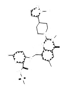 Cc1cc([C@@H](C)Nc2ccc(Cl)nc2C(=O)NS(C)(=O)=O)c2nc(N3CCC(c4ccnn4C(F)(F)F)CC3)n(C)c(=O)c2c1